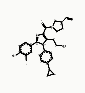 C=C[C@H]1CCN(C(=O)C2=C(CCO)C(c3ccc(C4CC4)cc3)C(c3ccc(C#N)c(F)c3)=N2)C1